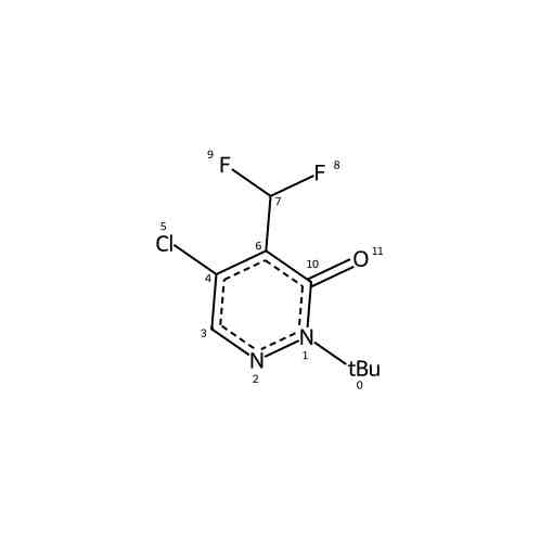 CC(C)(C)n1ncc(Cl)c(C(F)F)c1=O